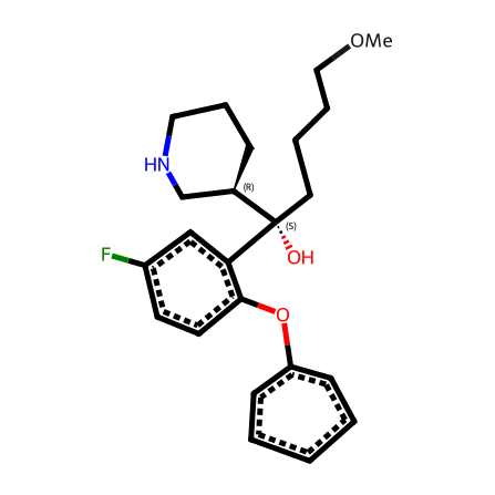 COCCCC[C@@](O)(c1cc(F)ccc1Oc1ccccc1)[C@@H]1CCCNC1